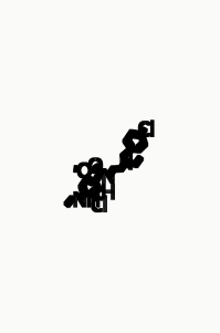 CCNc1cc(OC)c(C(=O)NCCN(CC)Cc2ccc(Cl)cc2)cc1Cl